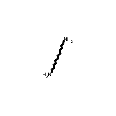 NCCCCC[CH]CCCCCCCCN